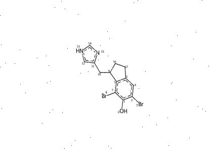 Oc1c(Br)cc2c(c1Br)C(Cc1c[nH]cn1)CC2